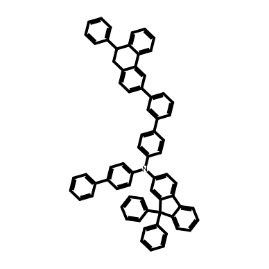 c1ccc(-c2ccc(N(c3ccc(-c4cccc(-c5ccc6c(c5)-c5ccccc5C(c5ccccc5)C6)c4)cc3)c3ccc4c(c3)C(c3ccccc3)(c3ccccc3)c3ccccc3-4)cc2)cc1